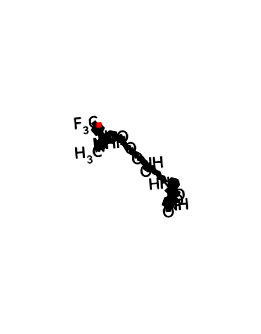 Cn1cc2c3cc(C(=O)NCCOCCOCCNC(=O)CCCCCNc4cccc5c4CN(C4CCC(=O)NC4=O)C5=O)ccc3n(-c3ccc(C(F)(F)F)cc3)c2n1